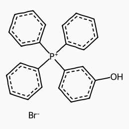 Oc1cccc([P+](c2ccccc2)(c2ccccc2)c2ccccc2)c1.[Br-]